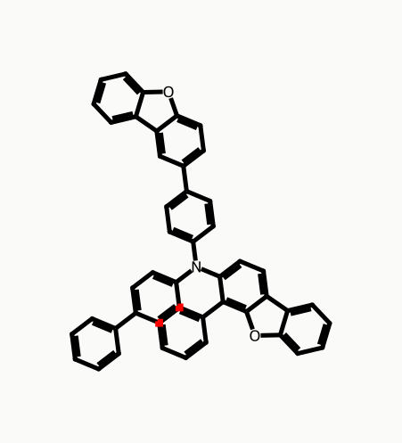 c1ccc(-c2ccc(N(c3ccc(-c4ccc5oc6ccccc6c5c4)cc3)c3ccc4c(oc5ccccc54)c3-c3ccccc3)cc2)cc1